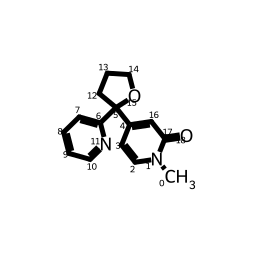 Cn1ccc(C2(c3ccccn3)CCCO2)cc1=O